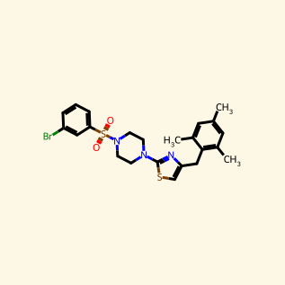 Cc1cc(C)c(Cc2csc(N3CCN(S(=O)(=O)c4cccc(Br)c4)CC3)n2)c(C)c1